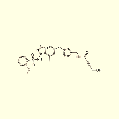 COc1ccccc1S(=O)(=O)Nc1noc2cc(Cn3cc(CNC(=O)C#CCO)cn3)cc(C)c12